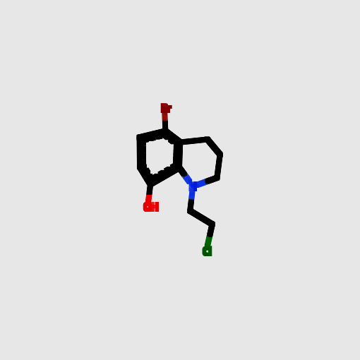 Oc1ccc(Br)c2c1N(CCCl)CCC2